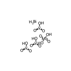 [BiH3].[O]=[Mo](=[O])([OH])[OH].[O]=[V](=[O])[OH].[O]=[V](=[O])[OH].[O]=[V](=[O])[OH]